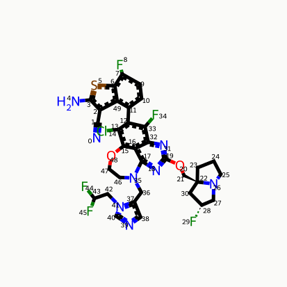 N#Cc1c(N)sc2c(F)ccc(-c3c(Cl)c4c5c(nc(OC[C@@]67CCCN6C[C@H](F)C7)nc5c3F)N(Cc3cncn3CC(F)F)CCO4)c12